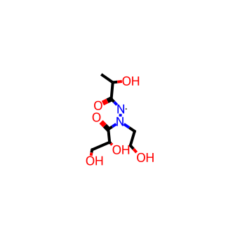 CC(O)C(=O)[N]N(CCO)C(=O)C(O)CO